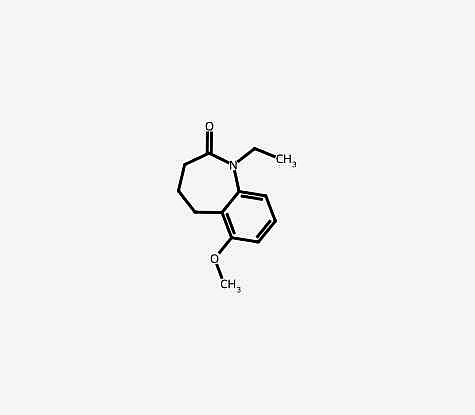 CCN1C(=O)CCCc2c(OC)cccc21